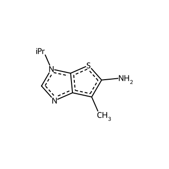 Cc1c(N)sc2c1ncn2C(C)C